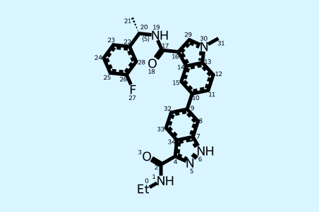 CCNC(=O)c1n[nH]c2cc(-c3ccc4c(c3)c(C(=O)N[C@@H](C)c3cccc(F)c3)cn4C)ccc12